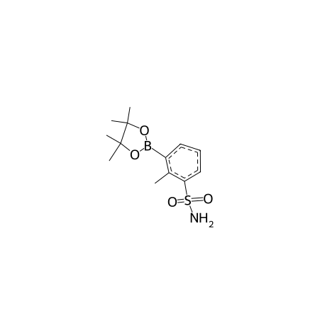 Cc1c(B2OC(C)(C)C(C)(C)O2)cccc1S(N)(=O)=O